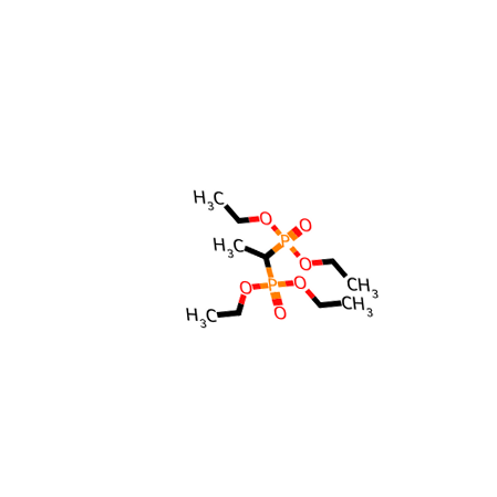 CCOP(=O)(OCC)C(C)P(=O)(OCC)OCC